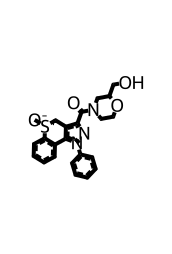 O=C(c1nn(-c2ccccc2)c2c1C[S+]([O-])c1ccccc1-2)N1CCOC(CO)C1